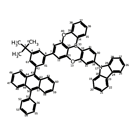 CC(C)(C)c1cc(-c2cc3c4c(c2)Oc2cc(-n5c6ccccc6c6ccccc65)ccc2B4c2ccccc2O3)cc(-c2c3ccccc3c(-c3ccccc3)c3ccccc23)c1